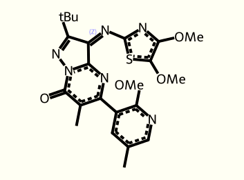 COc1ncc(C)cc1-c1nc2n(c(=O)c1C)N=C(C(C)(C)C)/C2=N/c1nc(OC)c(OC)s1